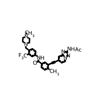 CC(=O)Nc1nc2cc(C#Cc3cc(C(=O)Nc4ccc(CN5CCN(C)CC5)c(C(F)(F)F)c4)ccc3C)ccn2n1